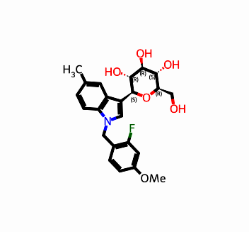 COc1ccc(Cn2cc([C@@H]3O[C@H](CO)[C@@H](O)[C@H](O)[C@H]3O)c3cc(C)ccc32)c(F)c1